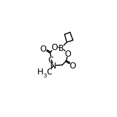 CN1CC(=O)OB(C2CCC2)OC(=O)C1